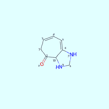 O=C1CC=CC=C2NCNC12